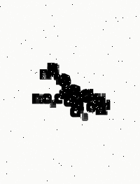 CCNC(=O)Nc1cc(-c2nc(C(F)(F)F)cs2)c(-c2ccc3c(c2)c(=O)c(C(=O)OCC)cn3[C@@H]2CCCN(CCN(CC)CC)C2)cn1